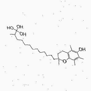 Cc1c(C)c2c(c(C)c1O)CCC(C)(CCCCCCCCCCCC(C)C(O)(O)O)O2